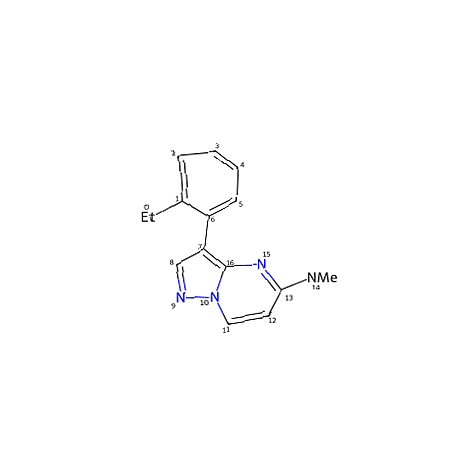 CCc1ccccc1-c1cnn2ccc(NC)nc12